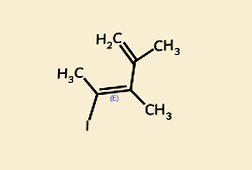 C=C(C)/C(C)=C(\C)I